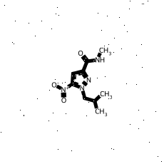 CNC(=O)c1cc([N+](=O)[O-])n(CC(C)C)n1